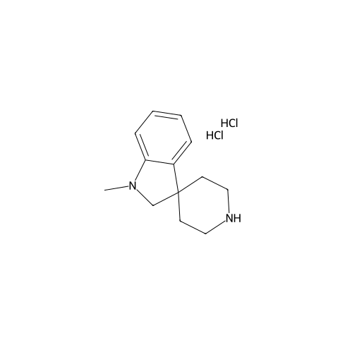 CN1CC2(CCNCC2)c2ccccc21.Cl.Cl